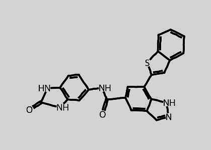 O=C(Nc1ccc2[nH]c(=O)[nH]c2c1)c1cc(-c2cc3ccccc3s2)c2[nH]ncc2c1